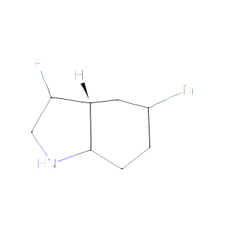 FC1CNC2CCC(Br)C[C@@H]12